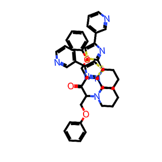 O=C(C(COc1ccccc1)N1CCCC[C@@H]1c1nc(-c2cccnc2)cs1)C(COc1ccccc1)N1CCCC[C@@H]1c1nc(-c2cccnc2)cs1